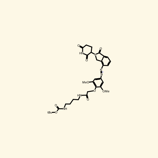 COc1cc(/N=N/c2cccc3c2CN(C2CCC(=O)NC2=O)C3=O)cc(OC)c1OCC(=O)NCCCCNC(=O)OC(C)(C)C